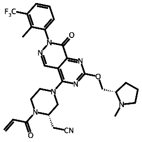 C=CC(=O)N1CCN(c2nc(OC[C@@H]3CCCN3C)nc3c(=O)n(-c4cccc(C(F)(F)F)c4C)ncc23)C[C@@H]1CC#N